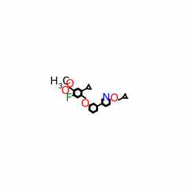 COC(=O)c1cc(C2CC2)c(COc2cccc(-c3ccc(OCC4CC4)nc3)c2)cc1F